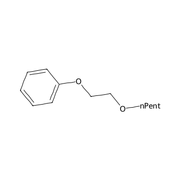 CCCCCOCCOc1ccccc1